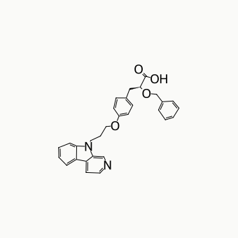 O=C(O)[C@H](Cc1ccc(OCCCn2c3ccccc3c3ccncc32)cc1)OCc1ccccc1